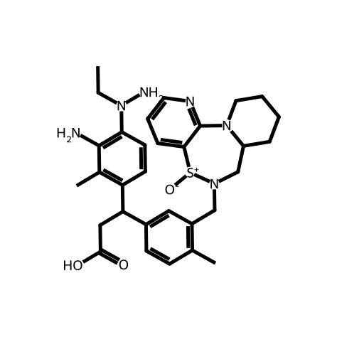 CCN(N)c1ccc(C(CC(=O)O)c2ccc(C)c(CN3CC4CCCCN4c4ncccc4[S+]3[O-])c2)c(C)c1N